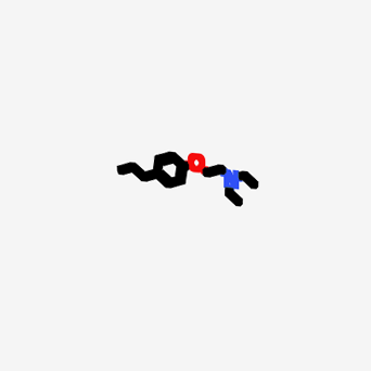 CCCc1ccc(OCCN(CC)CC)cc1